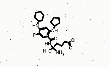 CC(N)(CCCC(=O)O)NC(=O)c1cc(F)c(NC2CCCCC2)cc1NC1CCCC1